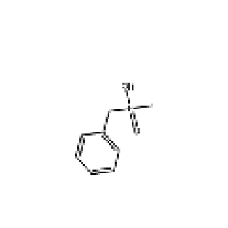 CP(=O)(O)Cc1ccccc1